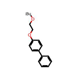 CCC(C)OCCOc1ccc(-c2ccccc2)cc1